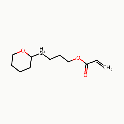 C=CC(=O)OCCC[SiH2]C1CCCCO1